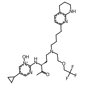 CC(=O)[C@H](CCN(CCCCc1ccc2c(n1)NCCC2)CCOCC(F)(F)F)Nc1ncc(C2CC2)c[n+]1O